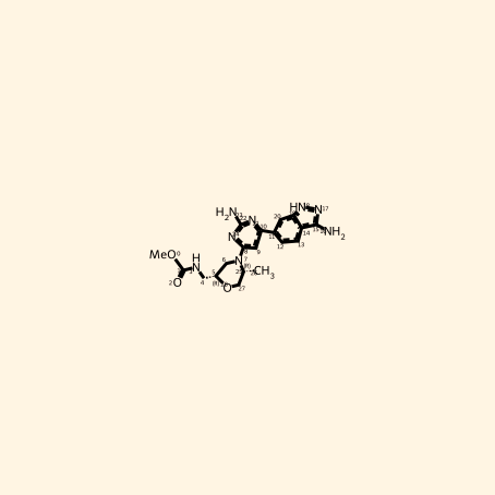 COC(=O)NC[C@@H]1CN(c2cc(-c3ccc4c(N)n[nH]c4c3)nc(N)n2)[C@H](C)CO1